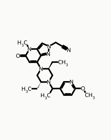 CC[C@H]1CN(C(C)c2ccc(OC)nc2)[C@H](CC)CN1c1cc(=O)n(C)c2cn(CC#N)nc12